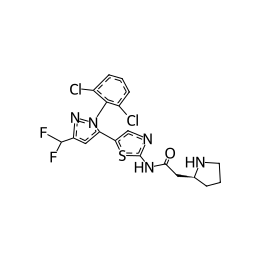 O=C(C[C@@H]1CCCN1)Nc1ncc(-c2cc(C(F)F)nn2-c2c(Cl)cccc2Cl)s1